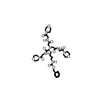 O=C(CN(CC(=O)NCC(=O)N1CCOCC1)[C@@H](CCCCNC(=O)OCc1ccccc1)C(=O)NCC(=O)N1CCOCC1)NCC(=O)N1CCOCC1